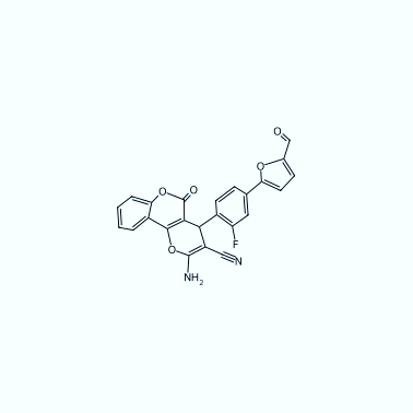 N#CC1=C(N)Oc2c(c(=O)oc3ccccc23)C1c1ccc(-c2ccc(C=O)o2)cc1F